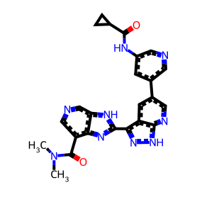 CN(C)C(=O)c1cncc2[nH]c(-c3n[nH]c4ncc(-c5cncc(NC(=O)C6CC6)c5)cc34)nc12